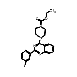 CCOC(=O)N1CCN(c2nc(-c3cccc(F)c3)nc3ccccc23)CC1